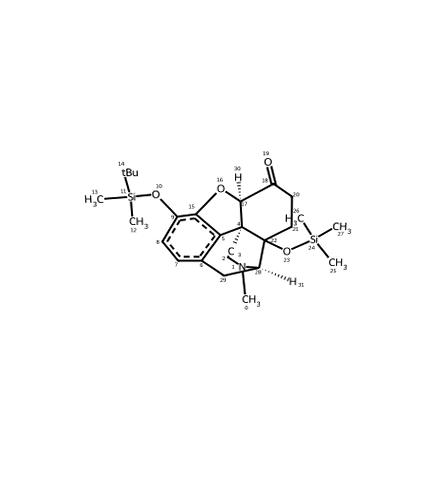 CN1CC[C@]23c4c5ccc(O[Si](C)(C)C(C)(C)C)c4O[C@H]2C(=O)CCC3(O[Si](C)(C)C)[C@H]1C5